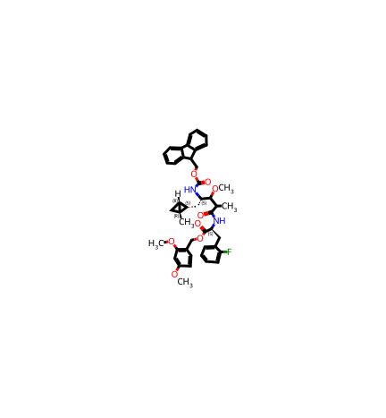 COc1ccc(COC(=O)[C@H](Cc2ccccc2F)NC(=O)C(C)C(OC)[C@H](C[C@H]2[C@H]3C[C@]32C)NC(=O)OCC2c3ccccc3-c3ccccc32)c(OC)c1